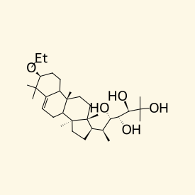 CCO[C@H]1CCC2C(=CCC3[C@@]2(C)CC[C@]2(C)[C@@H]([C@H](C)[C@H](O)[C@@H](O)[C@@H](O)C(C)(C)O)CC[C@@]32C)C1(C)C